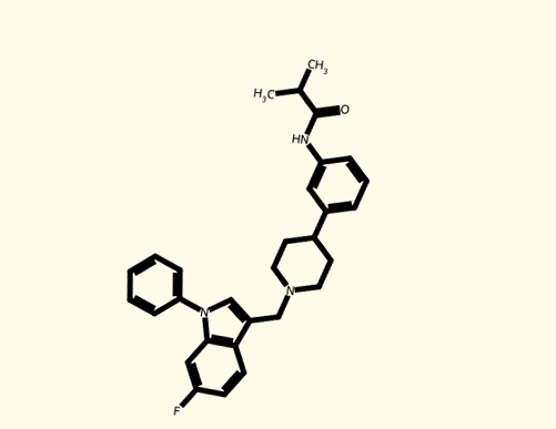 CC(C)C(=O)Nc1cccc(C2CCN(Cc3cn(-c4ccccc4)c4cc(F)ccc34)CC2)c1